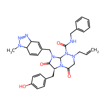 C=CCN1CC(=O)N2C(N(CC3=CC4N=NN(C)C4C=C3)C(=O)[C@@H]2Cc2ccc(O)cc2)N1C(=O)NCc1ccccc1